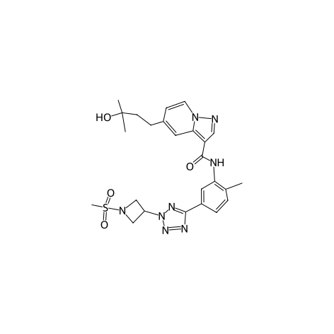 Cc1ccc(-c2nnn(C3CN(S(C)(=O)=O)C3)n2)cc1NC(=O)c1cnn2ccc(CCC(C)(C)O)cc12